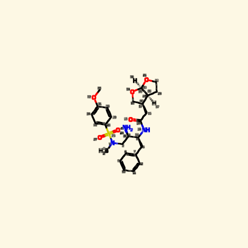 BN(C[C@@H](N)[C@H](Cc1ccccc1)NC(=O)C[C@H]1CO[C@H]2OCC[C@@H]12)S(=O)(=O)c1ccc(OC)cc1